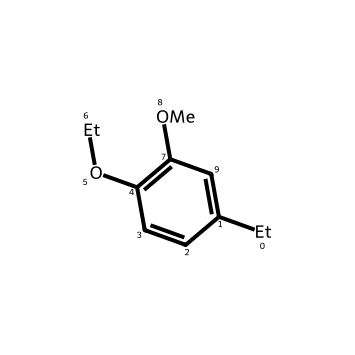 [CH2]Cc1ccc(OCC)c(OC)c1